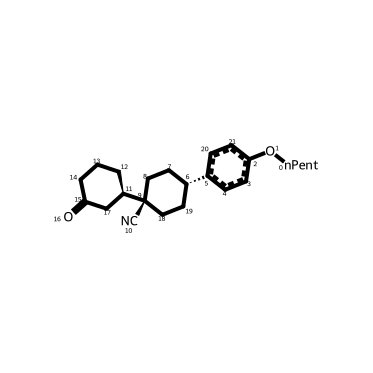 CCCCCOc1ccc([C@H]2CC[C@@](C#N)([C@@H]3CCCC(=O)C3)CC2)cc1